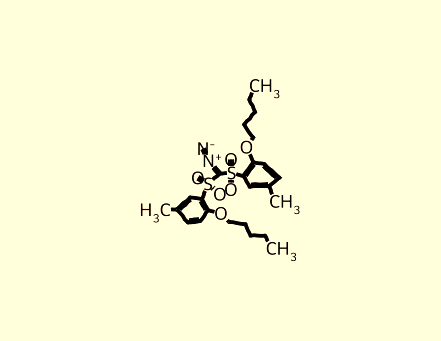 CCCCCOc1ccc(C)cc1S(=O)(=O)C(=[N+]=[N-])S(=O)(=O)c1cc(C)ccc1OCCCCC